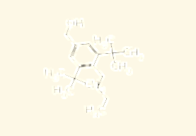 CCCCc1c(C(C)(C)C)cc(CO)cc1C(C)(C)C